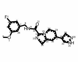 COc1cc(F)cc(CNC(=O)c2ncc3cc(-c4cn[nH]c4)ccn23)c1